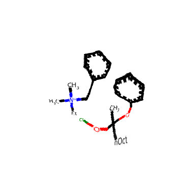 CCCCCCCCC(C)(OCl)Oc1ccccc1.CC[N+](C)(C)Cc1ccccc1